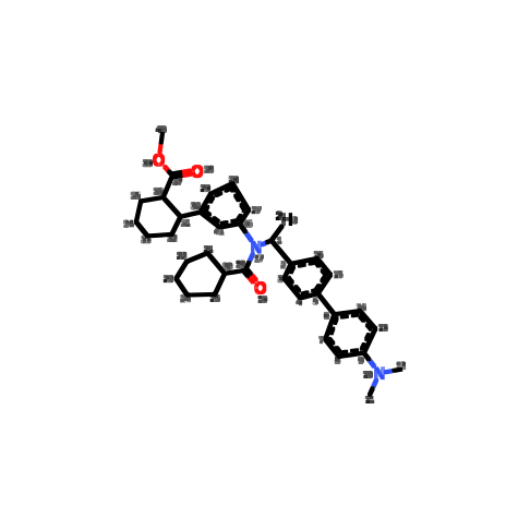 [2H]C(c1ccc(-c2ccc(N(C)C)cc2)cc1)N(C(=O)C1CCCCC1)c1cccc(C2CCCCC2C(=O)OC)c1